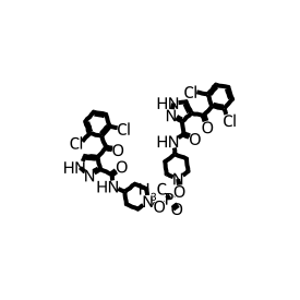 CP(=O)(ON1CCC(NC(=O)c2n[nH]cc2C(=O)c2c(Cl)cccc2Cl)CC1)ON1CCC(NC(=O)c2n[nH]cc2C(=O)c2c(Cl)cccc2Cl)CC1